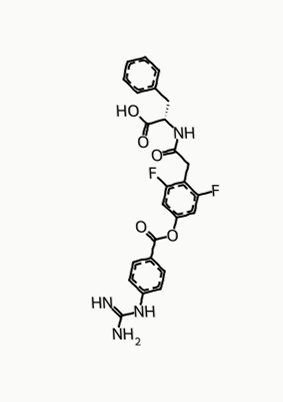 N=C(N)Nc1ccc(C(=O)Oc2cc(F)c(CC(=O)N[C@@H](Cc3ccccc3)C(=O)O)c(F)c2)cc1